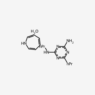 C1=CC=CNC=C1.CCCNc1nc(N)nc(CCC)n1.O